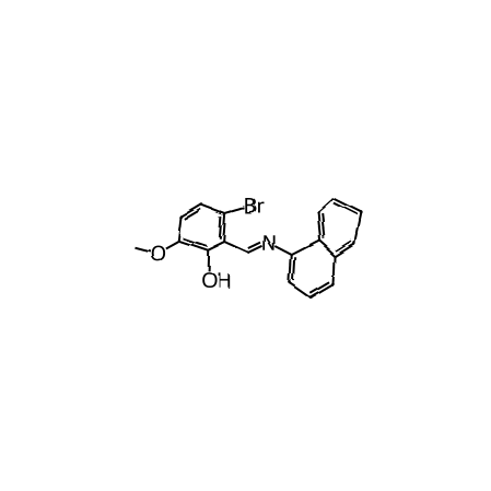 COc1ccc(Br)c(C=Nc2cccc3ccccc23)c1O